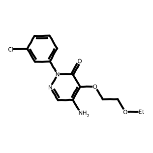 CCOCCOc1c(N)cnn(-c2cccc(Cl)c2)c1=O